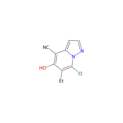 CCc1c(O)c(C#N)c2ccnn2c1Cl